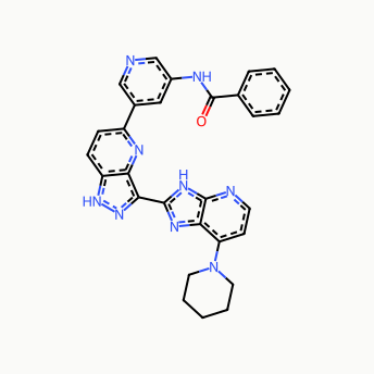 O=C(Nc1cncc(-c2ccc3[nH]nc(-c4nc5c(N6CCCCC6)ccnc5[nH]4)c3n2)c1)c1ccccc1